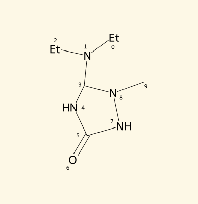 CCN(CC)C1NC(=O)NN1C